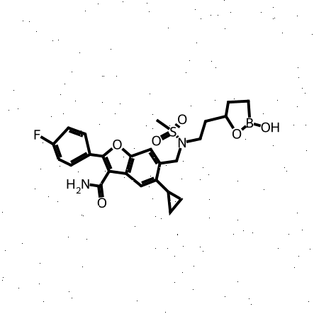 CS(=O)(=O)N(CCC1CCB(O)O1)Cc1cc2oc(-c3ccc(F)cc3)c(C(N)=O)c2cc1C1CC1